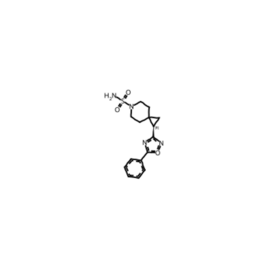 NS(=O)(=O)N1CCC2(CC1)C[C@H]2c1noc(-c2ccccc2)n1